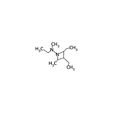 CCC1C(C)N(N(C)CC)C1CC